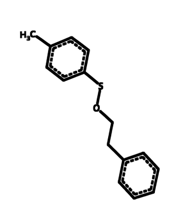 Cc1ccc(SOCCc2ccccc2)cc1